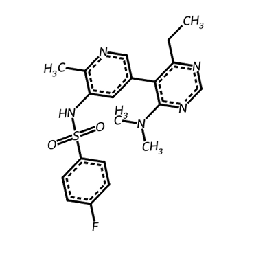 CCc1ncnc(N(C)C)c1-c1cnc(C)c(NS(=O)(=O)c2ccc(F)cc2)c1